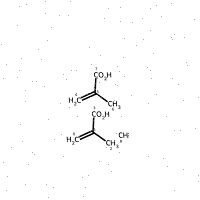 C=C(C)C(=O)O.C=C(C)C(=O)O.[CH]